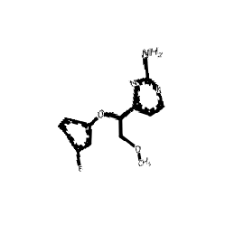 COCC(Oc1cccc(F)c1)c1ccnc(N)n1